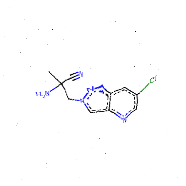 CC(N)(C#N)Cn1cc2ncc(Cl)cc2n1